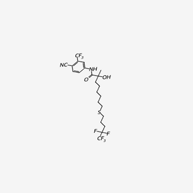 CC(O)(CCCCCCSCCCC(F)(F)C(F)(F)F)C(=O)Nc1ccc(C#N)c(C(F)(F)F)c1